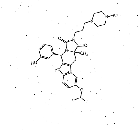 CC(=O)N1CCN(CCCN2C(=O)N3[C@H](c4cccc(O)c4)c4[nH]c5ccc(OC(F)F)cc5c4C[C@@]3(C)C2=O)CC1